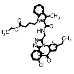 CCOC(=O)CCCn1c(C(=O)NCc2nnc(C)n2-c2sc(CC)cc2C(=O)c2ccccc2Cl)c(C)c2ccccc21